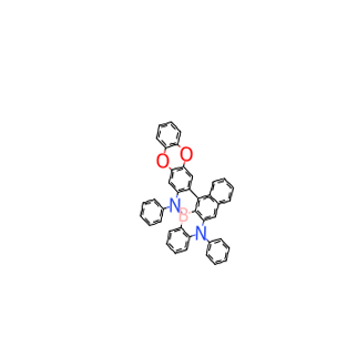 c1ccc(N2B3c4ccccc4N(c4ccccc4)c4cc5ccccc5c(c43)-c3cc4c(cc32)Oc2ccccc2O4)cc1